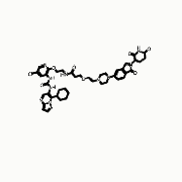 O=C(CCOCCN1CCN(c2ccc3c(c2)CN(C2CCC(=O)NC2=O)C3=O)CC1)NCCOc1ncc(Cl)cc1NC(=O)Nc1cnc2ccnn2c1C1CCCCC1